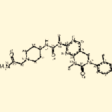 Cc1ccccc1N1Cc2cnc(N(C)C(=O)NC3CCN(CC(N)=O)CC3)nc2N(C)C1=O